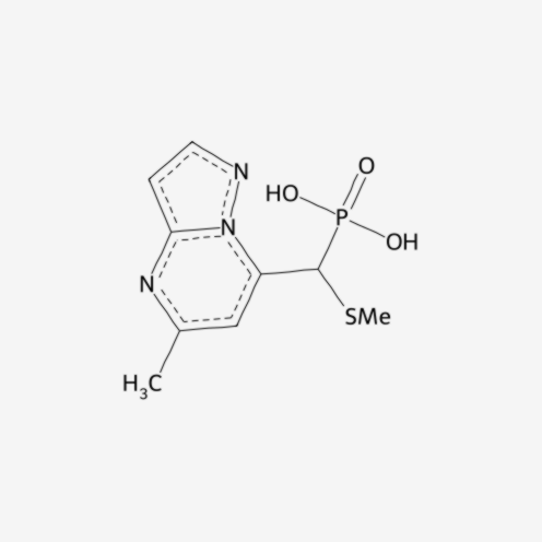 CSC(c1cc(C)nc2ccnn12)P(=O)(O)O